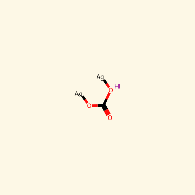 I.O=C([O][Ag])[O][Ag]